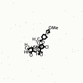 COC1CN(C2CCC(C3(C)Oc4c(Cl)cc(C5(NCc6c(SC)cc(C)[nH]c6=O)COC5)c(C)c4O3)CC2)C1